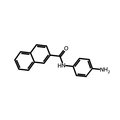 Nc1ccc(NC(=O)c2ccc3ccccc3c2)cc1